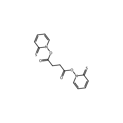 O=C(CCC(=O)On1ccccc1=S)On1ccccc1=S